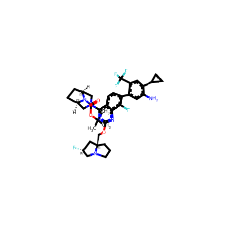 CC(C)(C)OC(=O)N1[C@@H]2CC[C@H]1CN(c1nc(OC[C@@]34CCCN3C[C@H](F)C4)nc3c(F)c(-c4cc(N)c(C5CC5)cc4C(F)(F)F)ccc13)C2